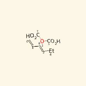 C=CC=CCC.O=C(O)OC(=O)O